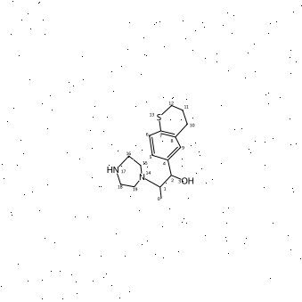 CC(C(O)c1ccc2c(c1)CCCS2)N1CCNCC1